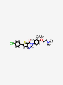 CCN(CCOc1ccc(-n2cnc3cc(-c4ccc(Cl)cc4)sc3c2=O)cc1OC)C(C)=O